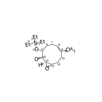 CC[Si](CC)(CC)OC1CC/C=C(/C)CCC2O[C@H]2C1=O